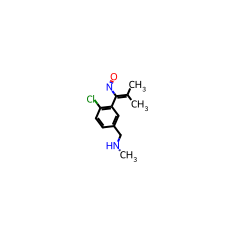 CNCc1ccc(Cl)c(C(N=O)=C(C)C)c1